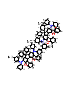 N#Cc1ccc(N(c2ccccc2)c2cc3c(c4c2oc2ccccc24)-c2c(cc(N(c4ccc(C#N)cc4)c4cccc(-c5cc(C#N)cc(N(c6ccccc6)c6cc7c(c8c6oc6ccccc68)-c6c(cc(N(c8ccccc8)c8cccc(C#N)c8)c8c6oc6ccccc68)C7(c6ccccc6)c6ccccc6)c5)c4)c4c2oc2ccccc24)C3(c2ccccc2)c2ccccc2)cc1